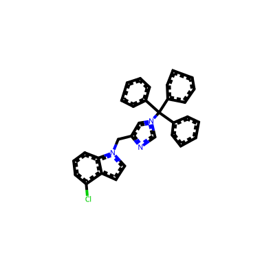 Clc1cccc2c1ccn2Cc1cn(C(c2ccccc2)(c2ccccc2)c2ccccc2)cn1